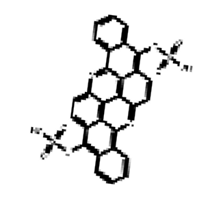 O=S(=O)(O)Oc1c2ccccc2c2nc3ccc4c(OS(=O)(=O)O)c5ccccc5c5nc6ccc1c2c6c3c45